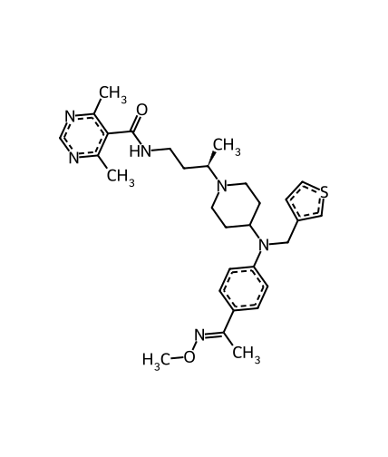 CO/N=C(\C)c1ccc(N(Cc2ccsc2)C2CCN([C@H](C)CCNC(=O)c3c(C)ncnc3C)CC2)cc1